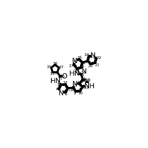 O=C(Nc1cncc(-c2ccc3[nH]nc(-c4nc5c(-c6cccnc6)cncc5[nH]4)c3n2)c1)C1CCCC1